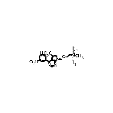 C[Si](C)(C)CCOCn1cc(C(=O)O)c2c(-c3cccc([N+](=O)[O-])c3)ncnc21